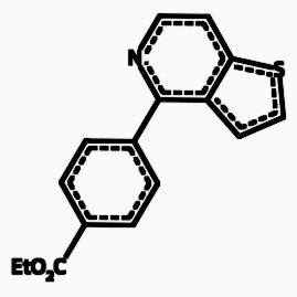 CCOC(=O)c1ccc(-c2nccc3sccc23)cc1